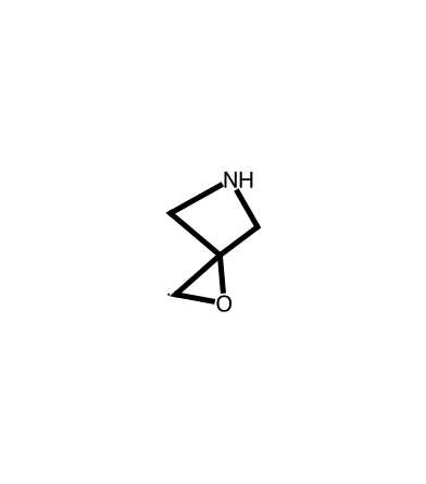 [CH]1OC12CNC2